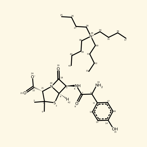 CC1(C)S[C@@H]2[C@H](NC(=O)C(N)c3ccc(O)cc3)C(=O)N2[C@H]1C(=O)[O-].CCCC[N+](CCCC)(CCCC)CCCC